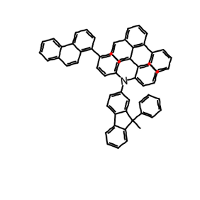 CC1(c2ccccc2)c2ccccc2-c2ccc(N(c3ccc(-c4cccc5c4ccc4ccccc45)cc3)c3ccccc3-c3cccc4cccc(-c5ccccc5)c34)cc21